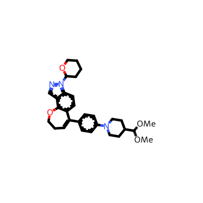 COC(OC)C1CCN(c2ccc(C3=CCCOc4c3ccc3c4cnn3C3CCCCO3)cc2)CC1